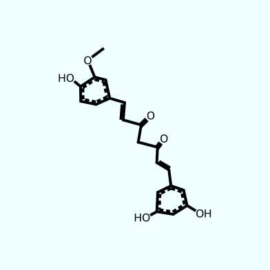 COc1cc(C=CC(=O)CC(=O)C=Cc2cc(O)cc(O)c2)ccc1O